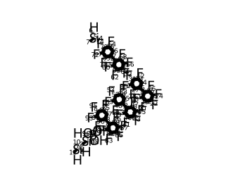 C[SiH](C)C.C[SiH](C)C.C[SiH](C)C.Fc1cc(-c2c(F)c(F)c(F)c(F)c2F)c(F)c(F)c1F.Fc1cc(-c2c(F)c(F)c(F)c(F)c2F)c(F)c(F)c1F.Fc1cc(-c2c(F)c(F)c(F)c(F)c2F)c(F)c(F)c1F.Fc1cc(-c2c(F)c(F)c(F)c(F)c2F)c(F)c(F)c1F.OB(O)O